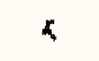 C[C@@H]1CN(c2ccc3c(c2)Cn2cc(-c4ccc(F)cc4)cc2-c2cnnn2-3)C[C@H]1CN(C)C